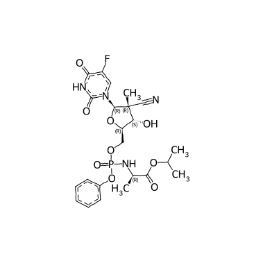 CC(C)OC(=O)[C@@H](C)NP(=O)(OC[C@H]1O[C@@H](n2cc(F)c(=O)[nH]c2=O)[C@](C)(C#N)[C@@H]1O)Oc1ccccc1